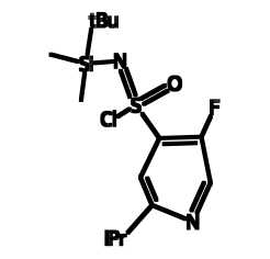 CC(C)c1cc(S(=O)(Cl)=N[Si](C)(C)C(C)(C)C)c(F)cn1